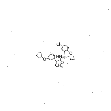 CC(C(=O)N[C@H]1CC2(CCC2)Oc2ccc(Cl)cc21)c1cccc(OC2CCCC2)c1